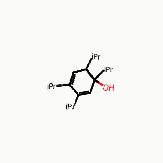 CC(C)C1=CC(C(C)C)C(O)(C(C)C)C=C1C(C)C